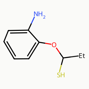 CCC(S)Oc1ccccc1N